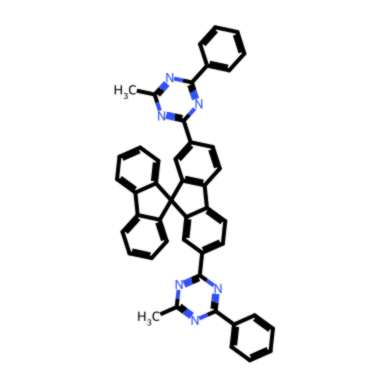 Cc1nc(-c2ccccc2)nc(-c2ccc3c(c2)C2(c4ccccc4-c4ccccc42)c2cc(-c4nc(C)nc(-c5ccccc5)n4)ccc2-3)n1